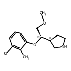 COC[C@H](Oc1cccc(Cl)c1C)[C@H]1CCNC1